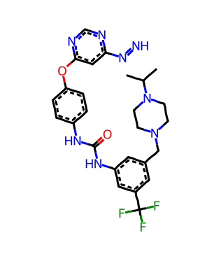 CC(C)N1CCN(Cc2cc(NC(=O)Nc3ccc(Oc4cc(N=N)ncn4)cc3)cc(C(F)(F)F)c2)CC1